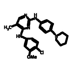 COc1cc(Nc2nc(Nc3ccc(N4CCCCC4)cc3)ncc2C)ccc1Cl